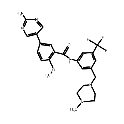 COc1ccc(-c2cnc(N)nc2)cc1C(=O)Nc1cc(CN2CCN(C)CC2)cc(C(F)(F)F)c1